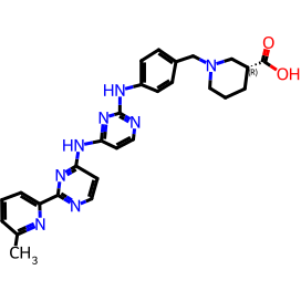 Cc1cccc(-c2nccc(Nc3ccnc(Nc4ccc(CN5CCC[C@@H](C(=O)O)C5)cc4)n3)n2)n1